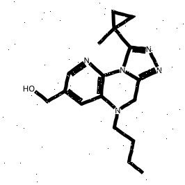 CCCCN1Cc2nnc(C3(C)CC3)n2-c2ncc(CO)cc21